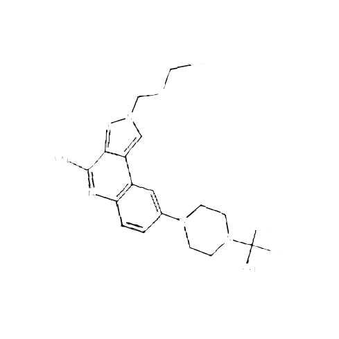 CCOCn1cc2c(n1)c(N)nc1ccc(N3CCN(C(C)(C)C)CC3)cc12